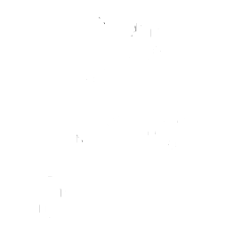 O=C(CCCCCOP(=O)(O)c1ccc(C(=O)OP(F)P)c(C2=c3cc4c5c(c3Oc3c2cc2c6c3CCCN6CCC2)CCC[N+]=5CCC4)c1)OP(F)P